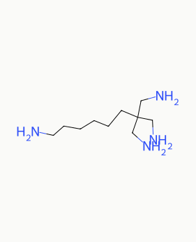 NCCCCCCC(CN)(CN)CN